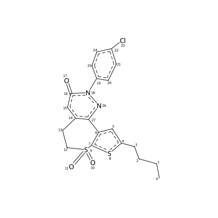 CCCCc1cc2c(s1)S(=O)(=O)CCc1cc(=O)n(-c3ccc(Cl)cc3)nc1-2